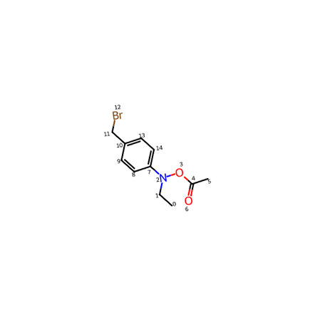 CCN(OC(C)=O)c1ccc(CBr)cc1